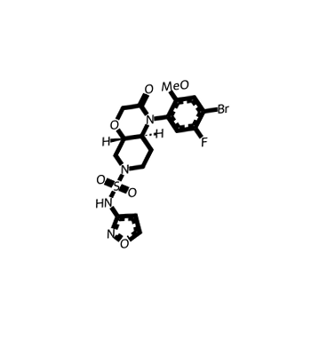 COc1cc(Br)c(F)cc1N1C(=O)CO[C@H]2CN(S(=O)(=O)Nc3ccon3)CC[C@@H]21